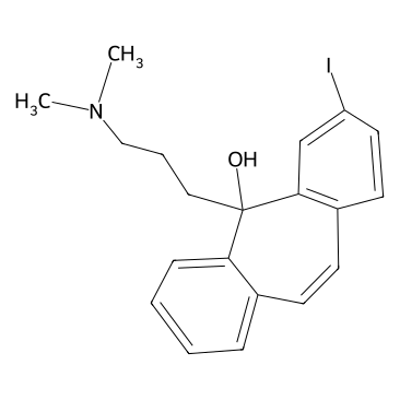 CN(C)CCCC1(O)c2ccccc2C=Cc2ccc(I)cc21